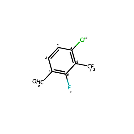 O=Cc1ccc(Cl)c(C(F)(F)F)c1F